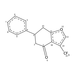 O=C1CC(c2ccccc2)Cc2occ(C(F)(F)F)c21